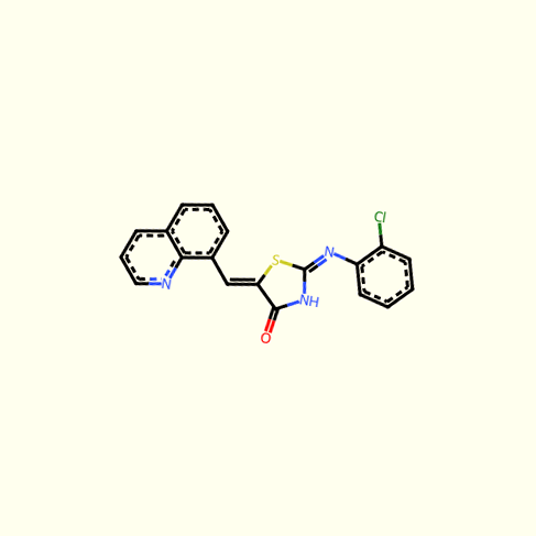 O=C1NC(=Nc2ccccc2Cl)SC1=Cc1cccc2cccnc12